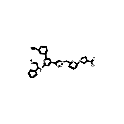 COCC(Nc1cc(-c2cn(Cc3cccc(N4CCC(C(=O)O)C4)n3)nn2)cc(-c2cccc(C#N)c2)n1)c1ccccc1